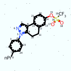 CCCc1ccc(-n2ncc3c2CCc2cc(OS(=O)(=O)C(F)(F)F)ccc2-3)cc1